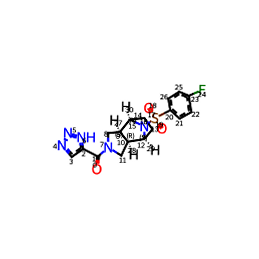 O=C(c1cnn[nH]1)N1C[C@@H]2[C@H](C1)[C@@H]1CC[C@H]2N1S(=O)(=O)c1ccc(F)cc1